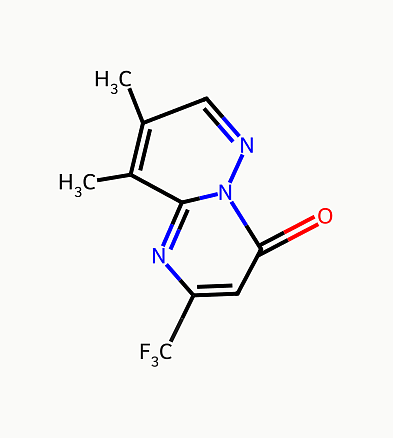 Cc1cnn2c(=O)cc(C(F)(F)F)nc2c1C